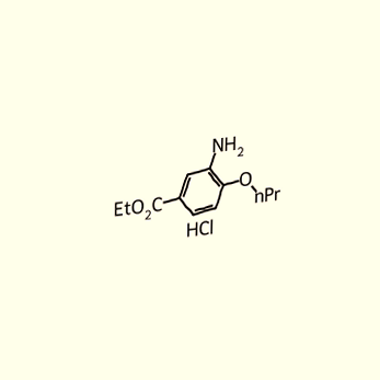 CCCOc1ccc(C(=O)OCC)cc1N.Cl